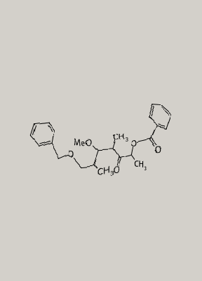 COC(C(C)COCc1ccccc1)C(C)C(=O)C(C)OC(=O)c1ccccc1